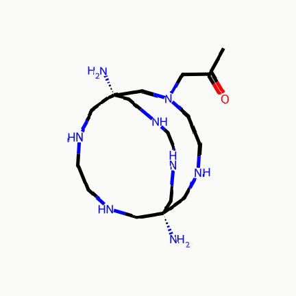 CC(=O)CN1CCNC[C@]2(N)CNCCNC[C@@](N)(CNCCNC2)C1